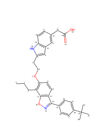 CCCc1c(OCCc2cc3cc(CC(=O)O)ccc3[nH]2)ccc2c(-c3ccc(C(C)(C)C)cc3)noc12